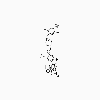 CS(=O)(=O)NC(=O)c1cc(C2CC2)c(OCC2CCN(Cc3cc(F)c(Br)cc3F)CC2)cc1F